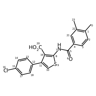 Cc1ccc(C(=O)Nc2scc(-c3ccc(Cl)cc3)c2C(=O)O)cc1C